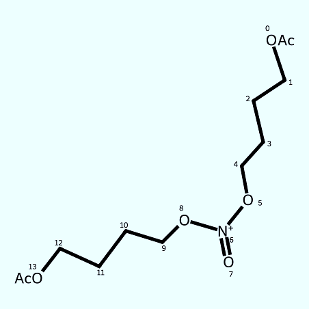 CC(=O)OCCCCO[N+](=O)OCCCCOC(C)=O